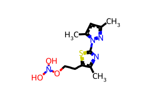 Cc1cc(C)n(-c2nc(C)c(CCON(O)O)s2)n1